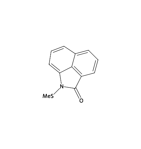 CSN1C(=O)c2cccc3cccc1c23